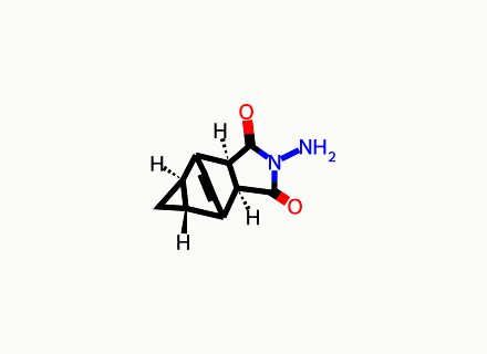 NN1C(=O)[C@@H]2C3C=CC([C@@H]4C[C@@H]34)[C@@H]2C1=O